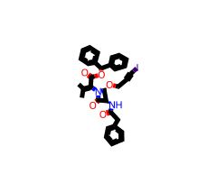 CC(C)=C(C(=O)OC(c1ccccc1)c1ccccc1)N1C(=O)[C@H](NC(=O)Cc2ccccc2)[C@H]1OCC#CI